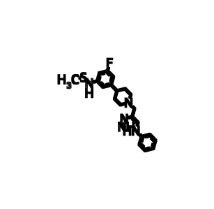 CSNc1cc(F)cc(C2CCN(C/C(=C/Nc3ccccc3)N=N)CC2)c1